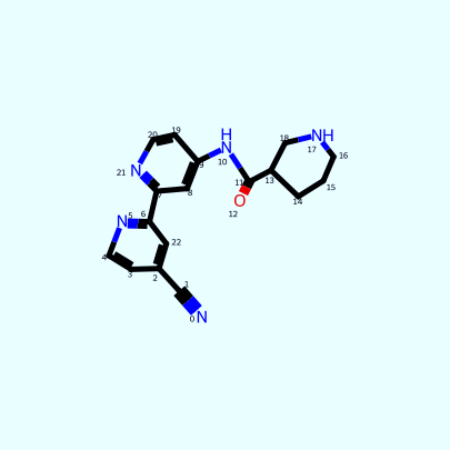 N#Cc1ccnc(-c2cc(NC(=O)C3CCCNC3)ccn2)c1